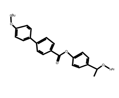 CCCCOc1ccc(-c2ccc(C(=O)Oc3ccc(C(C)OCCC)cc3)cc2)cc1